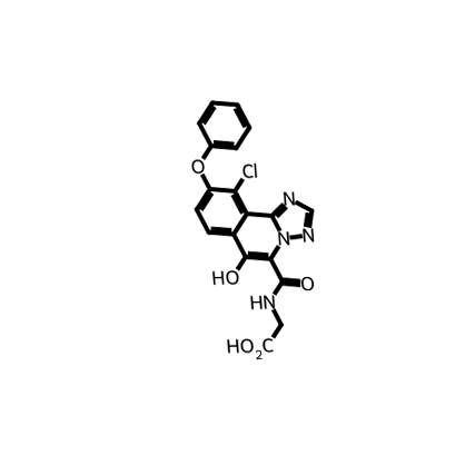 O=C(O)CNC(=O)c1c(O)c2ccc(Oc3ccccc3)c(Cl)c2c2ncnn12